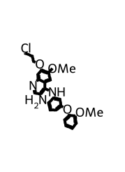 COc1cc2c(Nc3cccc(Oc4ccccc4OC)c3)c(N)cnc2cc1OCCCCl